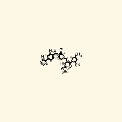 CC1CC(C#N)N(C(=O)C(CN2C[C@@H]3CC2C(=O)N3[C@@H](C)c2ccc(-c3nnn[nH]3)cc2)NC(=O)OC(C)(C)C)C1